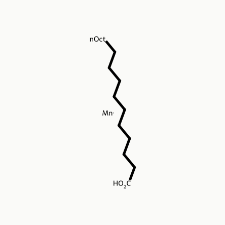 CCCCCCCCCCCCCCCCCC(=O)O.[Mn]